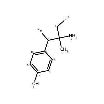 CC(N)(CF)C(F)c1ccc(O)cc1